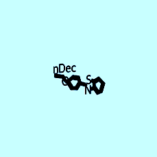 CCCCCCCCCCCCOc1ccc(-c2nc3ccccc3s2)cc1